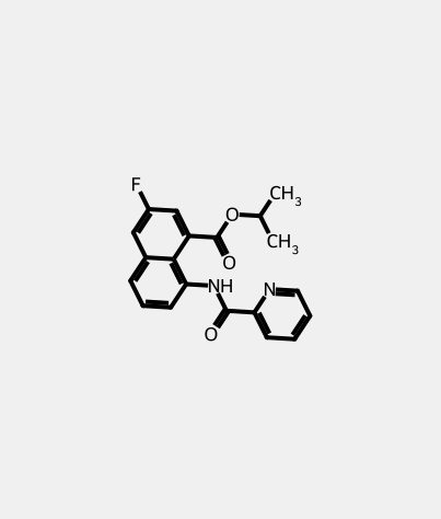 CC(C)OC(=O)c1cc(F)cc2cccc(NC(=O)c3ccccn3)c12